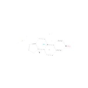 C[S+]([O-])[C@H]1CC[C@H]2[C@@H]3CCC4=CC(=O)C=C[C@]4(C)[C@@]3(F)[C@@H](O)C[C@]12C